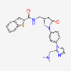 CN(C)Cc1nccn1-c1ccc(N2CC(CNC(=O)c3cc4ccccc4s3)CC2=O)cc1